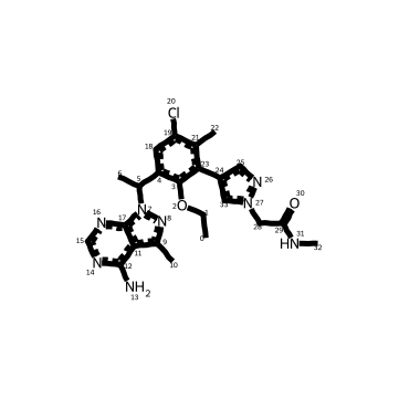 CCOc1c(C(C)n2nc(C)c3c(N)ncnc32)cc(Cl)c(C)c1-c1cnn(CC(=O)NC)c1